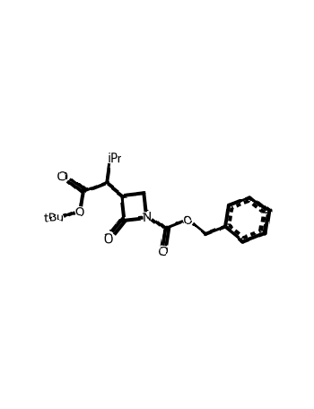 CC(C)C(C(=O)OC(C)(C)C)C1CN(C(=O)OCc2ccccc2)C1=O